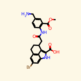 COC(=O)c1cc(CN)ccc1NC(=O)CC1CCc2cc(Br)cc3[nH]c(C(=O)O)c1c23